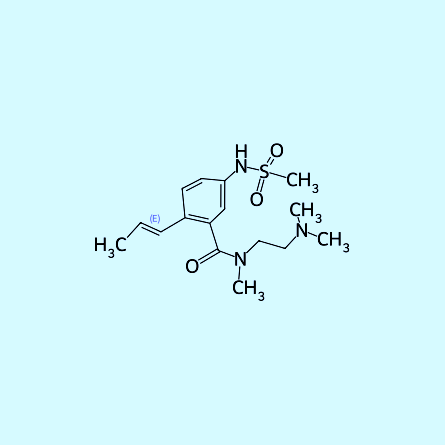 C/C=C/c1ccc(NS(C)(=O)=O)cc1C(=O)N(C)CCN(C)C